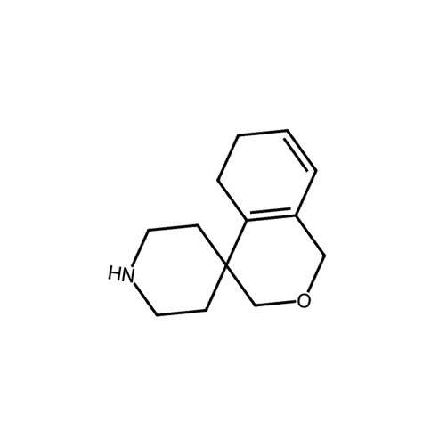 C1=CC2=C(CC1)C1(CCNCC1)COC2